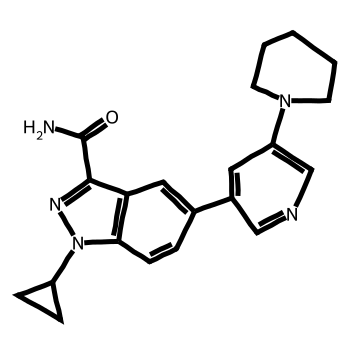 NC(=O)c1nn(C2CC2)c2ccc(-c3cncc(N4CCCCC4)c3)cc12